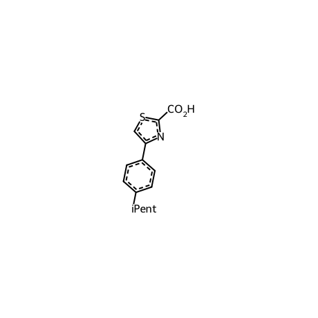 CCCC(C)c1ccc(-c2csc(C(=O)O)n2)cc1